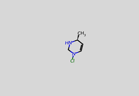 C[C@H]1C=CN(Cl)CN1